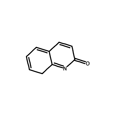 O=C1C=CC2=CC=CCC2=N1